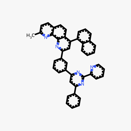 Cc1ccc2ccc3c(-c4cccc5ccccc45)cc(-c4cccc(-c5cc(-c6ccccc6)nc(-c6ccccn6)n5)c4)nc3c2n1